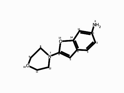 Nc1ccc2cc(N3CCOCC3)oc2c1